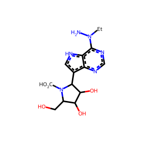 CCN(N)c1ncnc2c(C3C(O)C(O)C(CO)N3C(=O)O)c[nH]c12